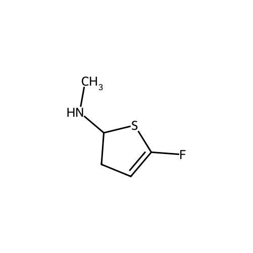 CNC1CC=C(F)S1